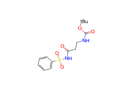 CC(C)(C)OC(=O)NCCC(=O)NS(=O)(=O)c1ccccc1